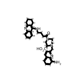 Nc1cccc2ccc(CN3CCN(C(=O)CCCNc4c5c(nc6ccccc46)CCCC5)CC3C(=O)O)nc12